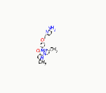 Cc1ccc(C(=O)Nc2ccc(OCCc3cccc(N)n3)cc2)c(N2CCC(C)CC2)n1